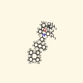 Cc1ccc(N(c2ccc(-c3c4ccccc4c(-c4ccc5c(c4)-c4ccccc4-c4ccccc4-c4ccccc4-5)c4ccccc34)cc2)c2cccc3c2oc2c(C(C)(C)C)cccc23)cc1